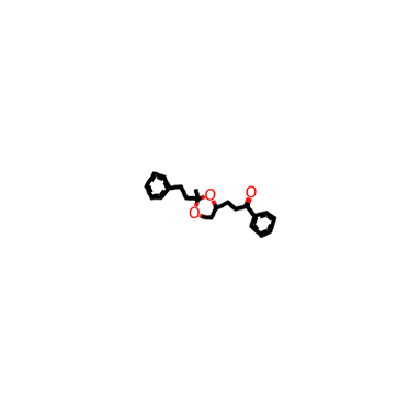 CC1(CCc2ccccc2)OCCC(CCC(=O)c2ccccc2)O1